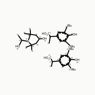 CC(C(=O)O)c1cc(C(C)(C)C)c(O)c(C(C)(C)C)c1.CC(C(=O)O)c1cc(C(C)(C)C)c(O)c(C(C)(C)C)c1.CC(O)N1C(C)(C)CC(O)CC1(C)C